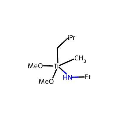 CC[NH][Ti]([CH3])([CH2]C(C)C)([O]C)[O]C